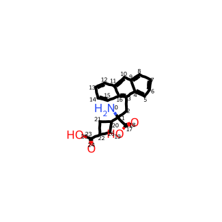 NC(Cc1c2ccccc2cc2ccccc12)(C(=O)O)C1CC(C(=O)O)C1